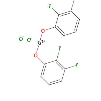 Fc1cccc([O][Zr+2][O]c2cccc(F)c2F)c1F.[Cl-].[Cl-]